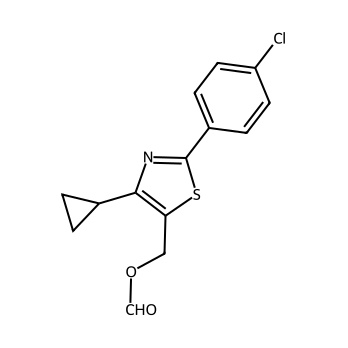 O=COCc1sc(-c2ccc(Cl)cc2)nc1C1CC1